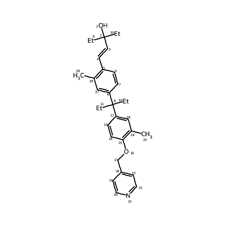 CCC(O)(C=Cc1ccc(C(CC)(CC)c2ccc(OCc3ccncc3)c(C)c2)cc1C)CC